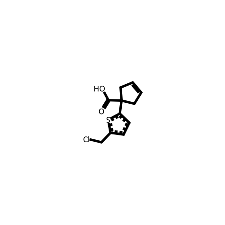 O=C(O)C1(c2ccc(CCl)s2)CC=CC1